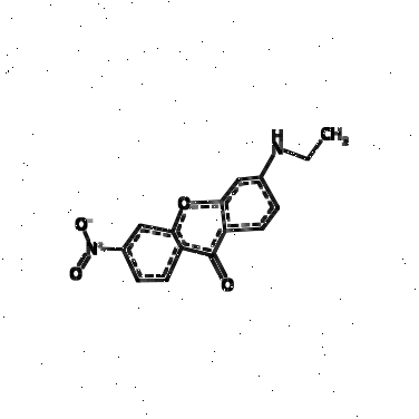 CCNc1ccc2c(=O)c3ccc([N+](=O)[O-])cc3oc2c1